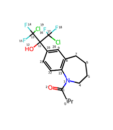 CC(C)C(=O)N1CCCCc2cc(C(O)(C(F)(F)Cl)C(F)(F)Cl)ccc21